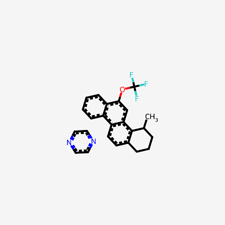 CC1CCCc2ccc3c(cc(OC(F)(F)F)c4ccccc43)c21.c1cnccn1